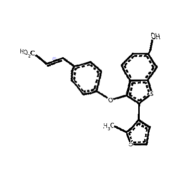 Cc1occc1-c1sc2cc(O)ccc2c1Oc1ccc(/C=C/C(=O)O)cc1